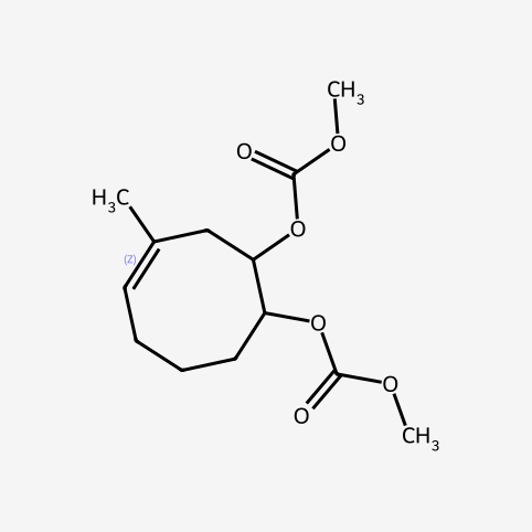 COC(=O)OC1CCC/C=C(/C)CC1OC(=O)OC